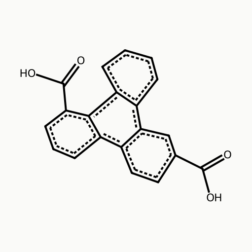 O=C(O)c1ccc2c(c1)c1ccccc1c1c(C(=O)O)cccc21